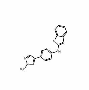 Cn1cc(-c2ccc(Nc3cc4ccccc4o3)nc2)cn1